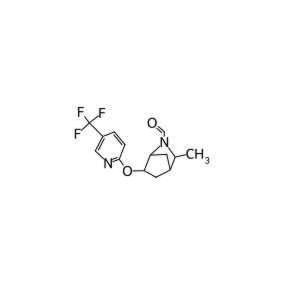 CC1C2CC(Oc3ccc(C(F)(F)F)cn3)C(C2)N1C=O